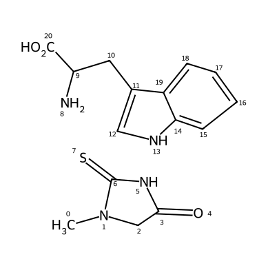 CN1CC(=O)NC1=S.NC(Cc1c[nH]c2ccccc12)C(=O)O